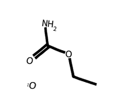 CCOC(N)=O.[O]